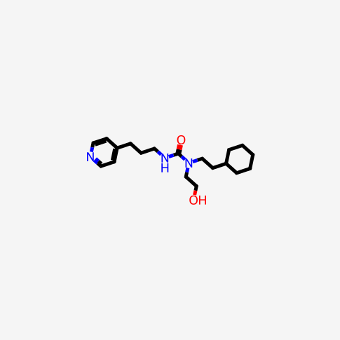 O=C(NCCCc1ccncc1)N(CCO)CCC1CCCCC1